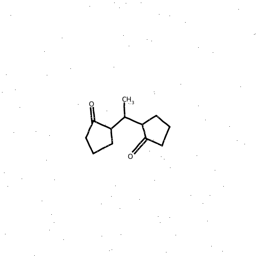 CC(C1CCCC1=O)C1CCCC1=O